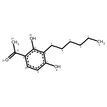 CCCCCCc1c(O)ccc(C(C)=O)c1O